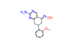 COc1ccccc1C1C/C(=N\O)c2cnc(N)nc2C1